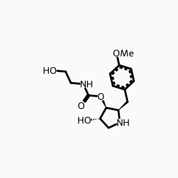 COc1ccc(C[C@H]2NC[C@H](O)[C@H]2OC(=O)NCCO)cc1